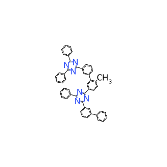 Cc1ccc(-c2nc(-c3ccccc3)nc(-c3cccc(-c4ccccc4)c3)n2)cc1-c1cccc(-c2nc(-c3ccccc3)nc(-c3ccccc3)n2)c1